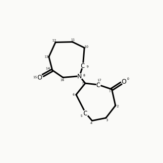 O=C1CCCCCC(N2CCCCCC(=O)C2)C1